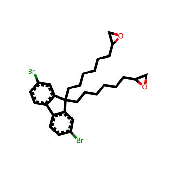 Brc1ccc2c(c1)C(CCCCCCC1CO1)(CCCCCCC1CO1)c1cc(Br)ccc1-2